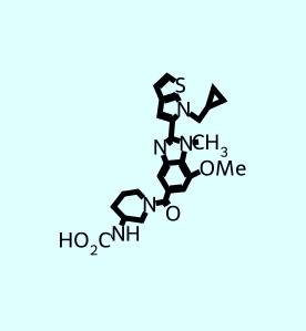 COc1cc(C(=O)N2CCCC(NC(=O)O)C2)cc2nc(-c3cc4ccsc4n3CC3CC3)n(C)c12